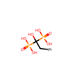 CC(C)CC(O)(P(=O)(O)O)P(=O)(O)O